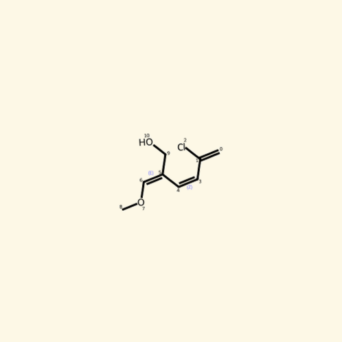 C=C(Cl)/C=C\C(=C/OC)CO